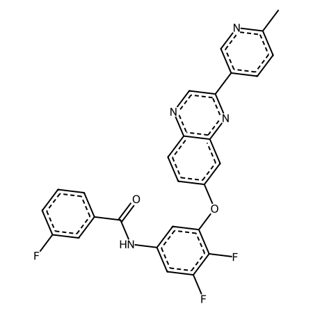 Cc1ccc(-c2cnc3ccc(Oc4cc(NC(=O)c5cccc(F)c5)cc(F)c4F)cc3n2)cn1